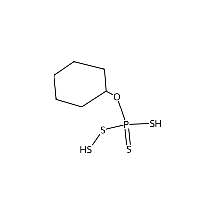 S=P(S)(OC1CCCCC1)SS